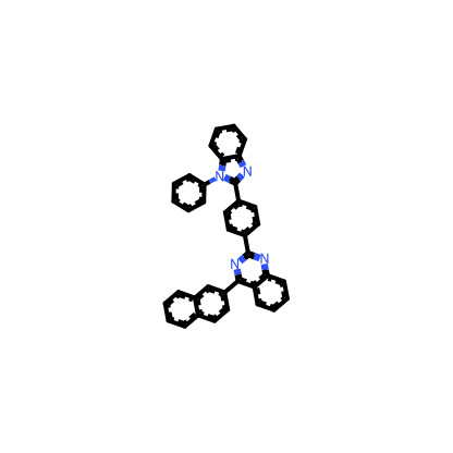 c1ccc(-n2c(-c3ccc(-c4nc(-c5ccc6ccccc6c5)c5ccccc5n4)cc3)nc3ccccc32)cc1